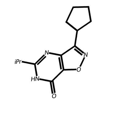 CC(C)c1nc2c(C3CCCC3)noc2c(=O)[nH]1